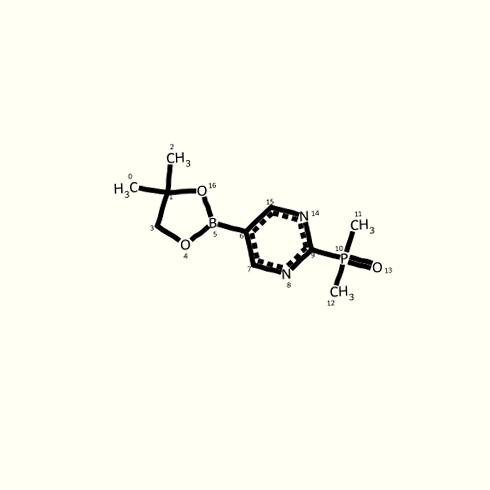 CC1(C)COB(c2cnc(P(C)(C)=O)nc2)O1